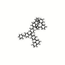 c1ccc(-c2ccc(N(c3ccc(-c4ccc5c(c4)C4(c6ccccc6-c6ccccc6-c6ccccc64)c4ccccc4-5)cc3)c3ccc(-c4cccc5ccccc45)cc3)cc2)cc1